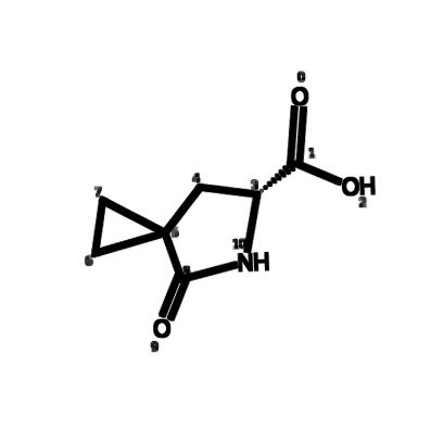 O=C(O)[C@H]1CC2(CC2)C(=O)N1